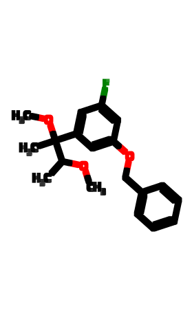 COC(C)C(C)(OC)c1cc(F)cc(OCc2ccccc2)c1